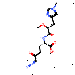 CO[C@@H](Cc1cn(C)cn1)C(=O)N[C@@H](CCC(=O)C=[N+]=[N-])C(=O)O